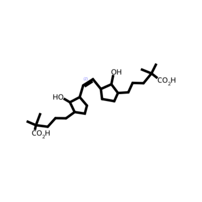 CC(C)(CCCC1CCC(/C=C\C2CCC(CCCC(C)(C)C(=O)O)C2O)C1O)C(=O)O